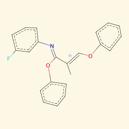 C/C(=C\Oc1ccccc1)C(=Nc1cccc(F)c1)Oc1ccccc1